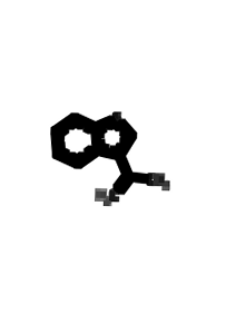 C=C(C)c1csc2ccccc12